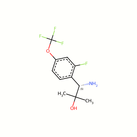 CC(C)(O)[C@@H](N)c1ccc(OC(F)(F)F)cc1F